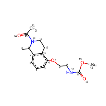 CC1c2cccc(OCCNC(=O)OC(C)(C)C)c2CCN1C(=O)C(F)(F)F